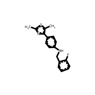 Cc1nc(-c2ccc(NCc3ccccc3F)cc2)c(C)s1